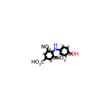 O=C(O)c1cc([N+](=O)[O-])c(Nc2ccc(O)cc2)c([N+](=O)[O-])c1